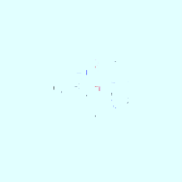 CCC(c1cccnc1)P(=O)(O)NC(CCC(=O)O)C(=O)O